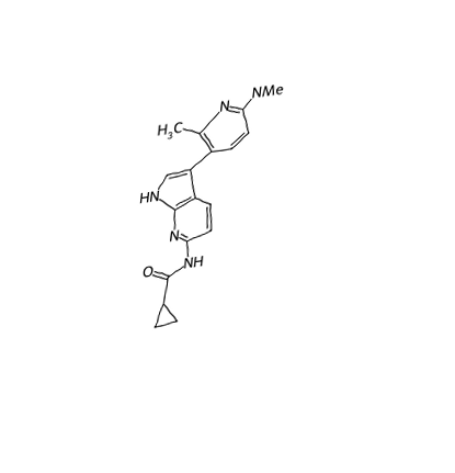 CNc1ccc(-c2c[nH]c3nc(NC(=O)C4CC4)ccc23)c(C)n1